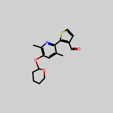 Cc1cc(OC2CCCCO2)c(C)nc1-c1sccc1C=O